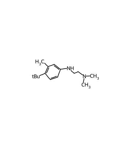 Cc1cc(NCCN(C)C)ccc1C(C)(C)C